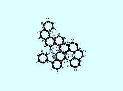 c1ccc(-c2ccccc2N(c2ccc3c(ccc4ccccc43)c2)c2ccc(-c3cccc4ccc5ccc6ccccc6c5c34)cc2-c2ccccc2)cc1